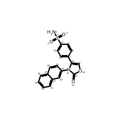 NS(=O)(=O)c1ccc(-c2coc(=O)n2-c2ccc3ccccc3c2)cc1